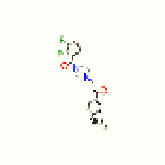 O=C(CCN1CCN(C(=O)c2cccc(F)c2F)CC1)c1ccc([N+](=O)[O-])cc1